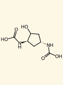 O=C(O)N[C@H]1CC(O)[C@H](NC(=O)O)C1